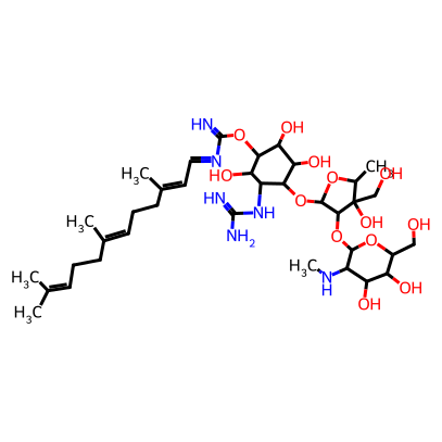 CNC1C(OC2C(OC3C(O)C(O)C(OC(=N)/N=C/C=C(\C)CC/C=C(\C)CCC=C(C)C)C(O)C3NC(=N)N)OC(C)C2(O)CO)OC(CO)C(O)C1O